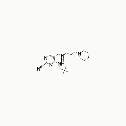 CC(C)(C)CNc1nc(C#N)ncc1CNCCCN1CCCCC1